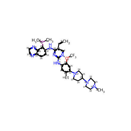 C=Cc1cnc(Nc2cc(CC)c(N3CCC(N4CCN(C)CC4)CC3)cc2OC(F)(F)F)nc1Nc1ccc2nccnc2c1P(C)C